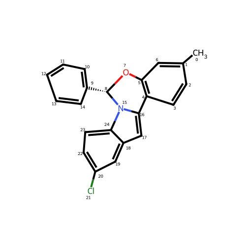 Cc1ccc2c(c1)O[C@@H](c1ccccc1)n1c-2cc2cc(Cl)ccc21